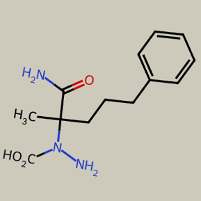 CC(CCCc1ccccc1)(C(N)=O)N(N)C(=O)O